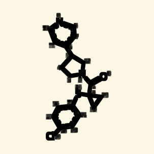 O=C(N1CCC(c2ccncc2)C1)C1(Sc2ccc(Cl)cc2)CC1